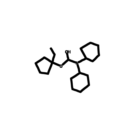 CCC1(OC(O)N(C2CCCCC2)C2CCCCC2)CCCC1